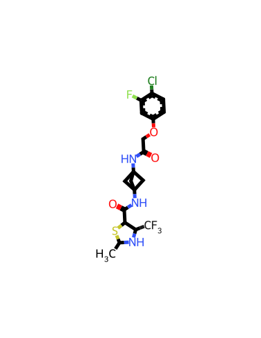 CC1NC(C(F)(F)F)C(C(=O)NC23CC(NC(=O)COc4ccc(Cl)c(F)c4)(C2)C3)S1